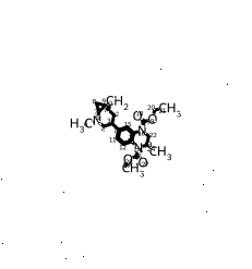 C=CCC(CN(C)C1CC1)c1ccc2c(c1)N(C(=O)OCC)C[C@H](C)N2C(=O)OC